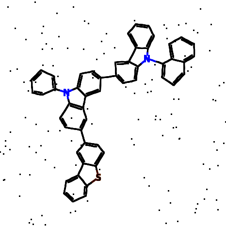 c1ccc(-n2c3ccc(-c4ccc5sc6ccccc6c5c4)cc3c3cc(-c4ccc5c(c4)c4ccccc4n5-c4cccc5ccccc45)ccc32)cc1